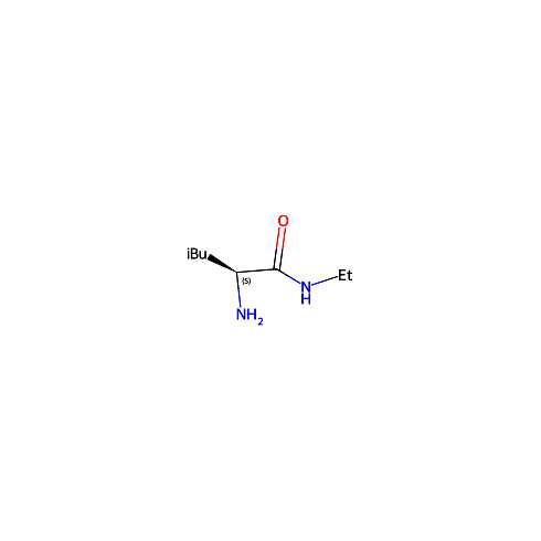 CCNC(=O)[C@@H](N)C(C)CC